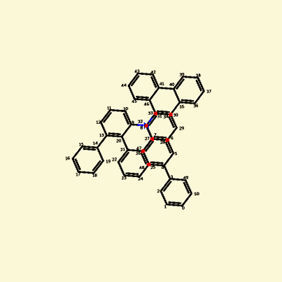 c1ccc(-c2ccc(N(c3cccc(-c4ccccc4)c3-c3ccccc3-c3ccccc3)c3cc4ccccc4c4ccccc34)cc2)cc1